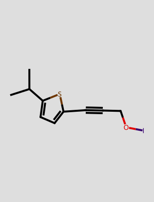 CC(C)c1ccc(C#CCOI)s1